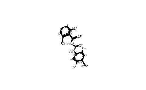 O=C(NC(=O)c1c(Cl)cccc1Cl)Nc1cc(F)c(Br)cc1F